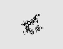 O=C(O)C(F)(F)F.[2H]C([2H])([2H])c1ccc(S(=O)(=O)NC23CC(CO)(C2)C3)cc1-c1cnc(N)c(-c2cnco2)n1